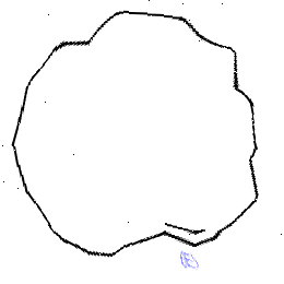 C1=C/CCCCCCCCCCCC/1